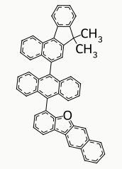 CC1(C)c2ccccc2-c2c1cc(-c1c3ccccc3c(-c3cccc4c3oc3cc5ccccc5cc34)c3ccccc13)c1ccccc21